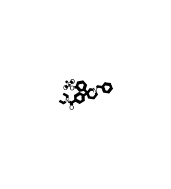 CCN(CC)C(=O)c1ccc(C2(c3cccc(OS(C)(=O)=O)c3)CCCN(Cc3ccccc3)C2)cc1